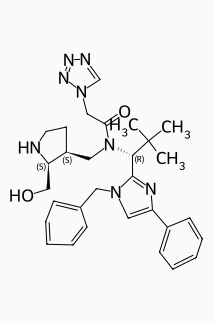 CC(C)(C)[C@H](c1nc(-c2ccccc2)cn1Cc1ccccc1)N(C[C@@H]1CCN[C@@H]1CO)C(=O)Cn1cnnn1